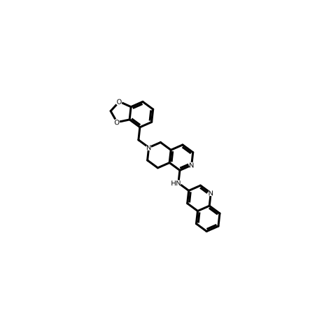 c1cc(CN2CCc3c(ccnc3Nc3cnc4ccccc4c3)C2)c2c(c1)OCO2